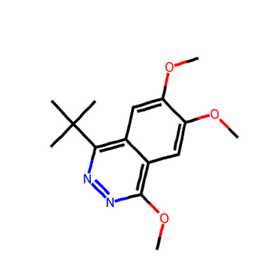 COc1cc2c(OC)nnc(C(C)(C)C)c2cc1OC